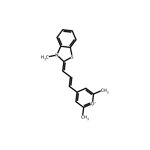 Cc1cc(/C=C/C=C2\Sc3ccccc3N2C)cc(C)[o+]1